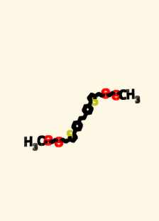 CCOCCOCCc1ccc(-c2ccc(/C=C/c3ccc(-c4ccc(CCOCCOCC)s4)cc3)cc2)s1